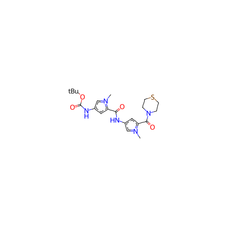 Cn1cc(NC(=O)OC(C)(C)C)cc1C(=O)Nc1cc(C(=O)N2CCSCC2)n(C)c1